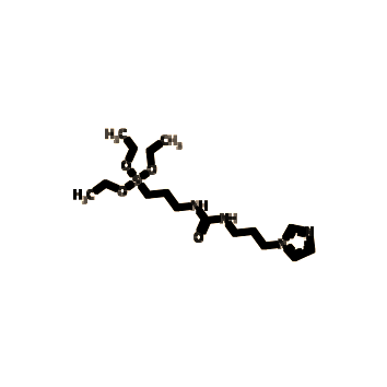 CCO[Si](CCCNC(=O)NCCCn1ccnc1)(OCC)OCC